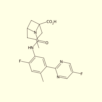 Cc1cc(F)c(NC(=O)N2C3CC(C)CC2(C(=O)O)C3)cc1-c1ncc(F)cn1